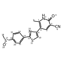 Cc1[nH]c(=O)c(C#N)cc1-c1csc(-c2ccc([S+](C)[O-])cc2)n1